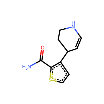 NC(=O)c1sccc1C1C=CNCC1